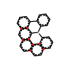 c1ccc(-c2cccc[c]2[Ir]([c]2ccccc2-c2ccccc2)[c]2ccccc2-c2ccccc2)cc1